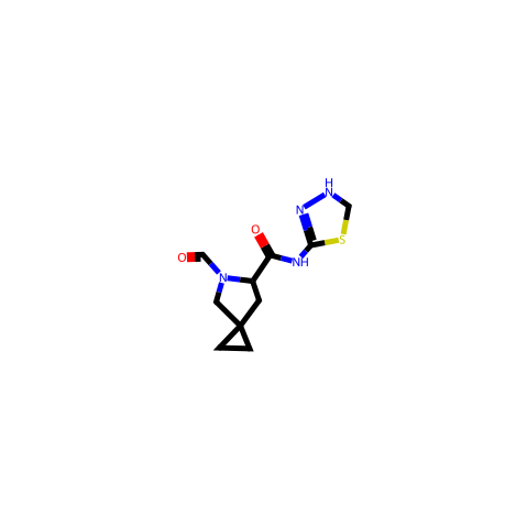 O=CN1CC2(CC2)CC1C(=O)NC1=NNCS1